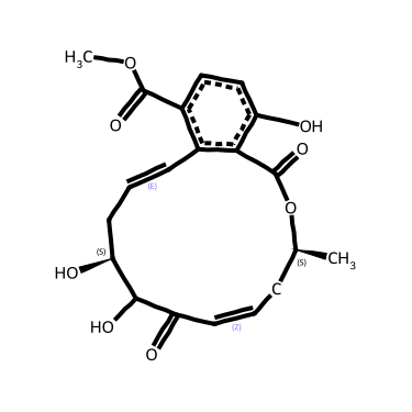 COC(=O)c1ccc(O)c2c1/C=C/C[C@H](O)C(O)C(=O)/C=C\C[C@H](C)OC2=O